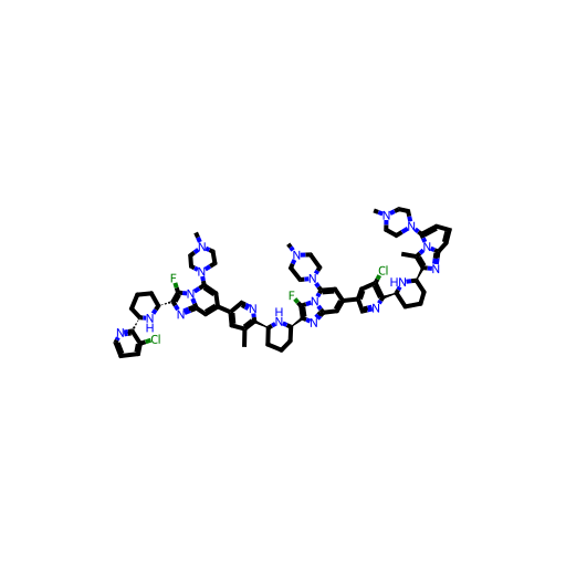 Cc1cc(-c2cc(N3CCN(C)CC3)n3c(F)c([C@H]4CCC[C@@H](c5ncccc5Cl)N4)nc3c2)cnc1[C@@H]1CCC[C@H](c2nc3cc(-c4cnc([C@@H]5CCC[C@H](c6nc7cccc(N8CCN(C)CC8)n7c6C)N5)c(Cl)c4)cc(N4CCN(C)CC4)n3c2F)N1